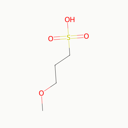 COCCCS(=O)(=O)O